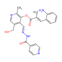 C/C(=C\c1ccccc1N)C(=O)Oc1c(C)ncc(CO)c1/C=N/NC(=O)c1ccncc1